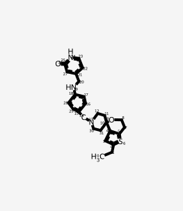 CCc1cc2c(s1)CCOC21CCN(Cc2ccc(NCc3cc[nH]c(=O)c3)cc2)CC1